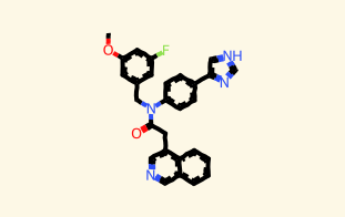 COc1cc(F)cc(CN(C(=O)Cc2cncc3ccccc23)c2ccc(-c3c[nH]cn3)cc2)c1